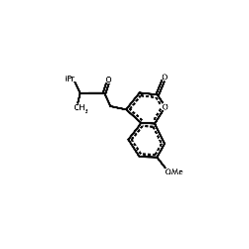 COc1ccc2c(CC(=O)C(C)C(C)C)cc(=O)oc2c1